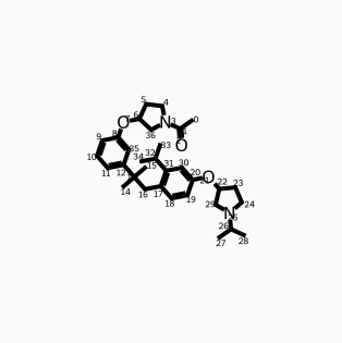 CC(=O)N1CCC(Oc2cccc(C(C)(C)Cc3ccc(OC4CCN(C(C)C)C4)cc3C(C)C)c2)C1